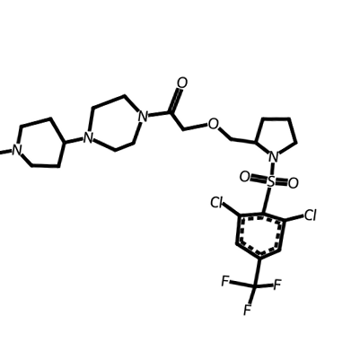 CN1CCC(N2CCN(C(=O)COCC3CCCN3S(=O)(=O)c3c(Cl)cc(C(F)(F)F)cc3Cl)CC2)CC1